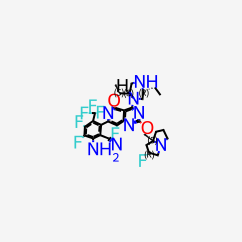 CC[C@@H]1CN2c3nc(OC[C@@]45CCCN4C[C@H](F)C5)nc4c(F)c(-c5c(C#N)c(N)c(F)c(F)c5C(F)(F)F)nc(c34)O[C@@H](C)[C@@H]2CN1